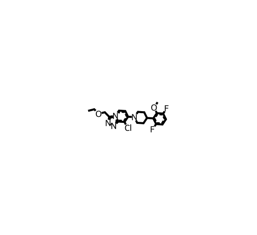 CCOCc1nnc2c(Cl)c(N3CCC(c4c(F)ccc(F)c4OC)CC3)ccn12